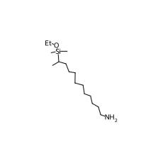 CCO[Si](C)(C)C(C)CCCCCCCCCCN